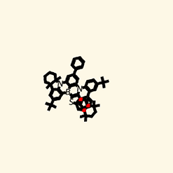 CC(C)(C)c1ccc(N2c3cc(-c4ccccc4)cc4c3B(c3cc(C(C)(C)C)cc5c3N4C3(C)CCCCC53C)c3sc4cc5c(cc4c32)C(C)(C)CCC5(C)C)c(-c2ccccc2)c1